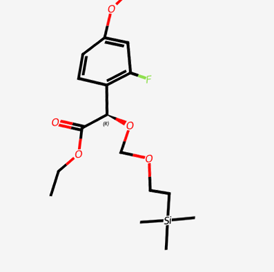 CCOC(=O)[C@H](OCOCC[Si](C)(C)C)c1ccc(OC)cc1F